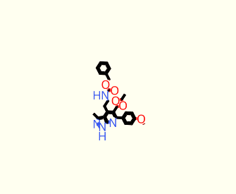 COc1ccc(-c2nc3[nH]nc(C)c3c(CCNC(=O)OCc3ccccc3)c2C2OC(C)O2)cc1